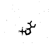 CCC(c1cccc(C(F)(F)F)n1)C(C)C